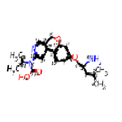 CC(C)C[C@H](N)COc1ccc2c(c1)OCc1cnc(N(C(=O)O)C(C)C)cc1-2